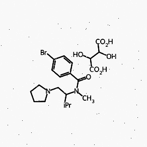 CC(C)C(CN1CCCC1)N(C)C(=O)c1ccc(Br)cc1.O=C(O)C(O)C(O)C(=O)O